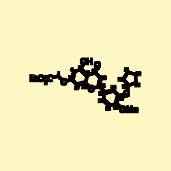 CCOC(=O)COc1cc(O)c2c(=O)cc(-c3ccc(OC)c(OC4CCCC4)c3)oc2c1